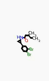 C=CC(C)=CC(=O)NC1CC1c1ccc(Br)c(Br)c1